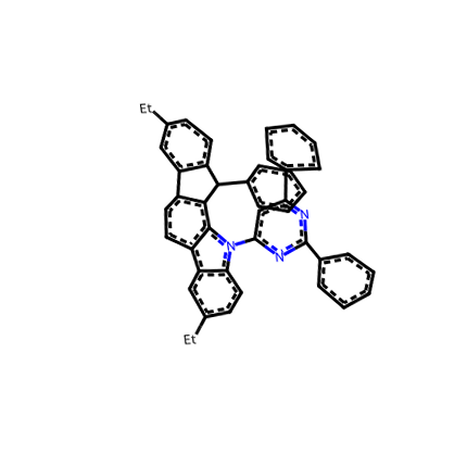 CCc1ccc2c(c1)-c1ccc3c4cc(CC)ccc4n(-c4cc(-c5ccccc5)nc(-c5ccccc5)n4)c3c1C2c1ccccc1